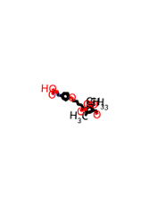 COc1c(C=O)cc(C)c(C(=O)CCCCOc2ccc(/C=C/C(=O)O)cc2)c1OC